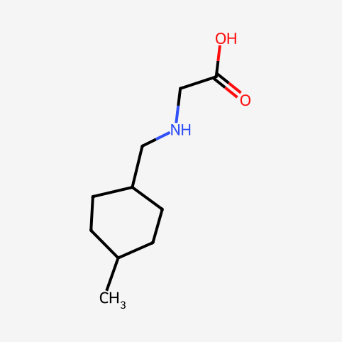 CC1CCC(CNCC(=O)O)CC1